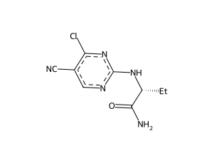 CC[C@@H](Nc1ncc(C#N)c(Cl)n1)C(N)=O